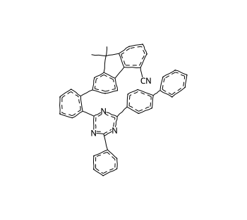 CC1(C)c2cc(-c3ccccc3-c3nc(-c4ccccc4)nc(-c4ccc(-c5ccccc5)cc4)n3)ccc2-c2c(C#N)cccc21